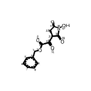 O=C(OCc1ccccc1)C(=O)C1CC(=O)N(O)C1=O